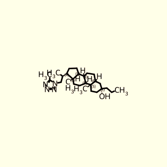 CCC[C@@]1(O)CC[C@@]2(C)[C@H](CC[C@@H]3[C@@H]2CC[C@]2(C)[C@@H](C(C)Cn4nnnc4C)CC[C@@H]32)C1